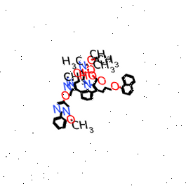 COc1ccccc1-c1ncc(OCc2nn(C)c(CO)c2-c2cccc3c(CCCOc4cccc5ccccc45)c(C(=O)O)n(CCCN(C)C(=O)OC(C)(C)C)c23)cn1